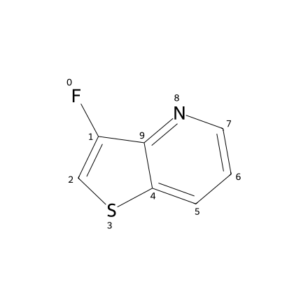 Fc1csc2cccnc12